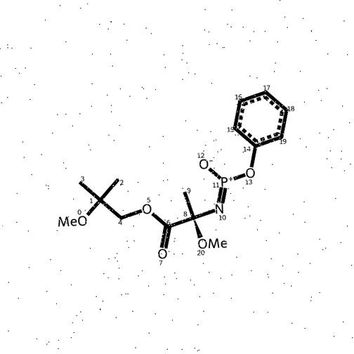 COC(C)(C)COC(=O)[C@](C)(N=[P+]([O-])Oc1ccccc1)OC